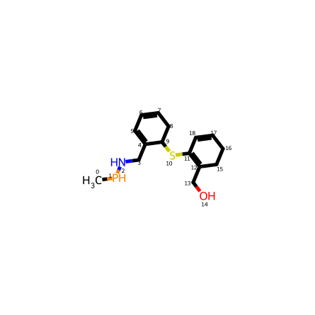 CPNCC1=CC=CCC1SC1=C(CO)CCC=C1